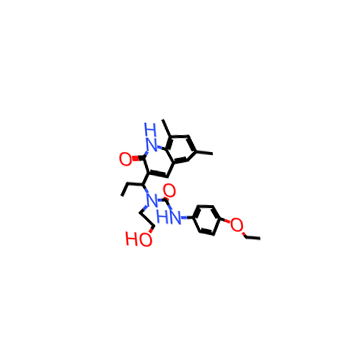 CCOc1ccc(NC(=O)N(CCO)C(CC)c2cc3cc(C)cc(C)c3[nH]c2=O)cc1